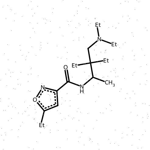 CCc1cc(C(=O)NC(C)C(CC)(CC)CN(CC)CC)no1